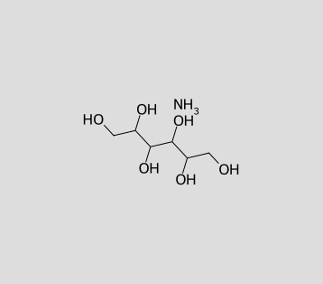 N.OCC(O)C(O)C(O)C(O)CO